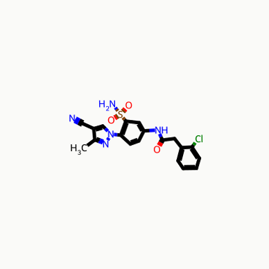 Cc1nn(-c2ccc(NC(=O)Cc3ccccc3Cl)cc2S(N)(=O)=O)cc1C#N